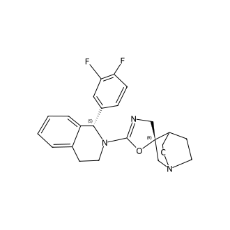 Fc1ccc([C@H]2c3ccccc3CCN2C2=NC[C@@]3(CN4CCC3CC4)O2)cc1F